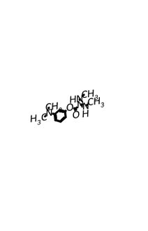 CNN(NC)C(=O)Oc1cccc(N(C)C)c1